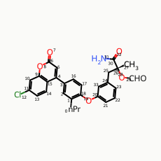 CCCc1cc(-c2cc(=O)oc3cc(Cl)ccc23)ccc1Oc1cccc(C[C@@](C)(OC=O)C(N)=O)c1